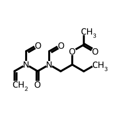 C=CN(C=O)C(=O)N(C=O)CC(CC)OC(C)=O